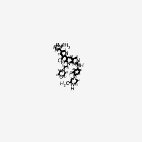 CC1CN(c2ccc(Nc3ncc4cc(-c5ncc(-c6nnnn6C)cc5Cl)c(=O)n(CCN5CCOCC5)c4n3)cc2F)CCN1